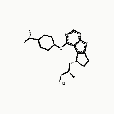 C[C@H](C[C@H]1CCc2sc3ncnc(OC4CCC(N(C)C)CC4)c3c21)OC=O